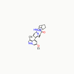 C#CC(=O)NC1(C)C2CCC1CC(Nc1ccc(-c3cc(OCC)cn4ncc(C#N)c34)cn1)C2